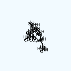 C[C@H](NC(=O)[C@H](C)NC(=O)[C@H](CCCNC(N)=O)NC(=O)[C@H](Cc1c[nH]c2ccccc12)NC(=O)[C@@H]1CCCCN1C(=O)[C@H](CCC(=O)O)NC(=O)CCl)C(=O)NC(CCCCNC(=O)CCCC[C@H]1SC[C@H]2NC(=O)N[C@H]21)C(N)=O